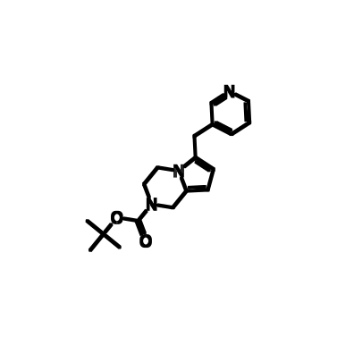 CC(C)(C)OC(=O)N1CCn2c(Cc3cccnc3)ccc2C1